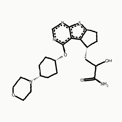 NC(=O)C(O)C[C@H]1CCc2sc3ncnc(O[C@H]4CC[C@@H](N5CCOCC5)CC4)c3c21